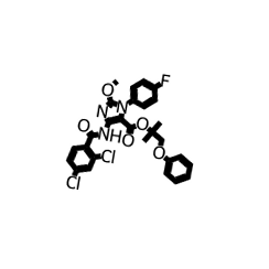 COc1nc(NC(=O)c2ccc(Cl)cc2Cl)c(C(=O)OC(C)(C)COc2ccccc2)n1-c1ccc(F)cc1